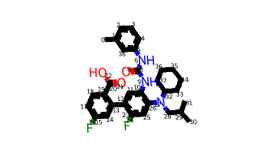 Cc1cccc(NC(=O)Nc2cc(-c3cc(F)ccc3C(=O)O)c(F)cc2N(CC(C)C)C2CCCCC2)c1